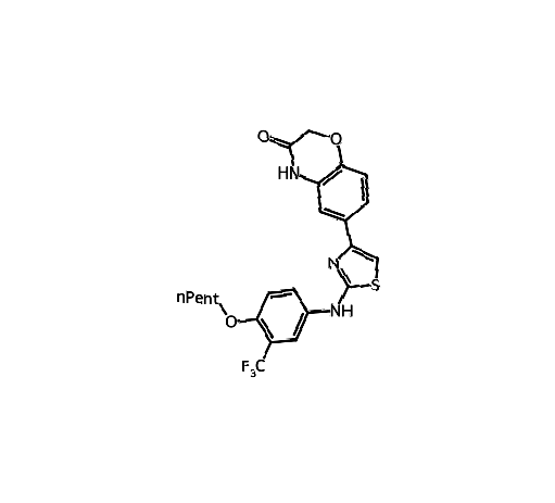 CCCCCOc1ccc(Nc2nc(-c3ccc4c(c3)NC(=O)CO4)cs2)cc1C(F)(F)F